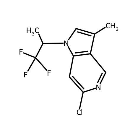 Cc1cn(C(C)C(F)(F)F)c2cc(Cl)ncc12